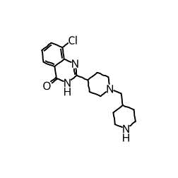 O=c1[nH]c(C2CCN(CC3CCNCC3)CC2)nc2c(Cl)cccc12